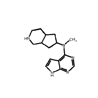 CN(c1ncnc2[nH]ccc12)C1CC2CCNCC2C1